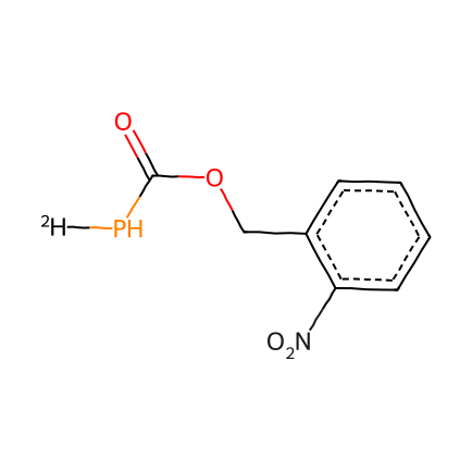 [2H]PC(=O)OCc1ccccc1[N+](=O)[O-]